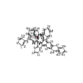 c1ccc(-c2nc(-n3c4ccccc4c4c5cc6c(cc5c5c7ccccc7n(-c7ccccc7)c5c43)Cc3ccccc3C6)nc3ccccc23)cc1